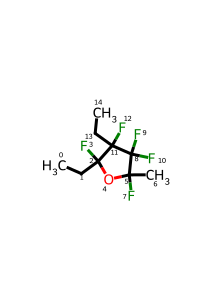 CCC1(F)OC(C)(F)C(F)(F)C1(F)CC